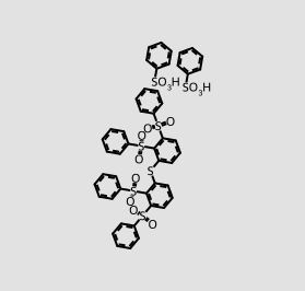 O=S(=O)(O)c1ccccc1.O=S(=O)(O)c1ccccc1.O=S(=O)(c1ccccc1)c1cccc(Sc2cccc(S(=O)(=O)c3ccccc3)c2S(=O)(=O)c2ccccc2)c1S(=O)(=O)c1ccccc1